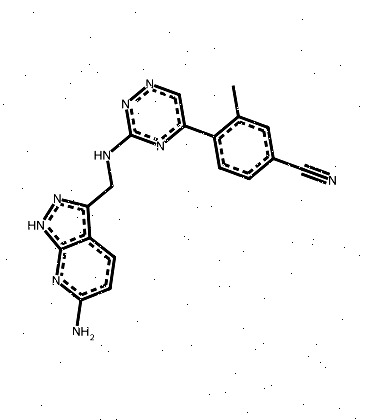 Cc1cc(C#N)ccc1-c1cnnc(NCc2n[nH]c3nc(N)ccc23)n1